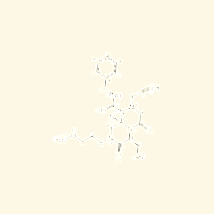 C#CCN1CC(=O)N2[C@@H](CC(C)C)C(=O)N(CCCOCCCC)C[C@@H]2N1C(=O)NCc1ccccc1